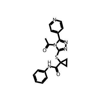 CC(=O)n1c(SC2(C(=O)Nc3ccccc3)CC2)nnc1-c1ccncc1